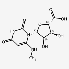 CNc1cc(=O)[nH]c(=O)n1[C@@H]1O[C@H](C(=O)O)[C@@H](O)[C@H]1O